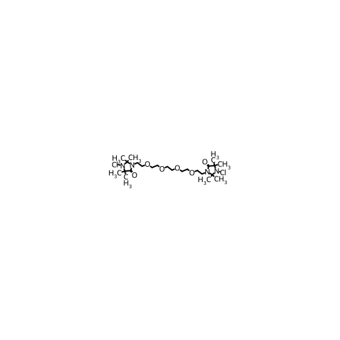 CC1(C)C(=O)N(CCOCCOCCOCCOCCN2C(=O)C(C)(C)N(Cl)C2(C)C)C(C)(C)N1Cl